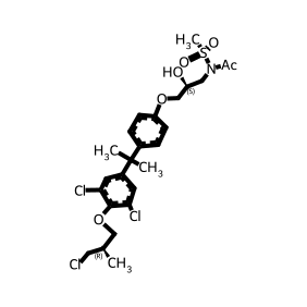 CC(=O)N(C[C@H](O)COc1ccc(C(C)(C)c2cc(Cl)c(OC[C@@H](C)CCl)c(Cl)c2)cc1)S(C)(=O)=O